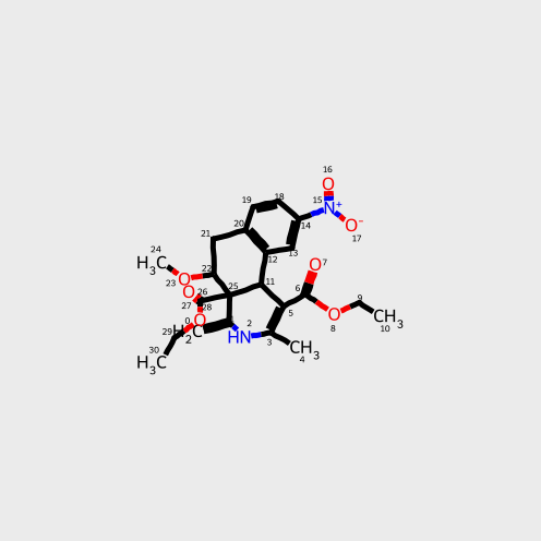 C=C1NC(C)=C(C(=O)OCC)C2c3cc([N+](=O)[O-])ccc3CC(OC)C12C(=O)OCC